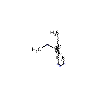 CCCCC/C=C\C/C=C\C/C=C\CCCCCCCCC(=O)OC[C@@H](COC(=O)CCCCCCCCCCCCC)OC(=O)CCCCCCC/C=C\CCCCCCCC